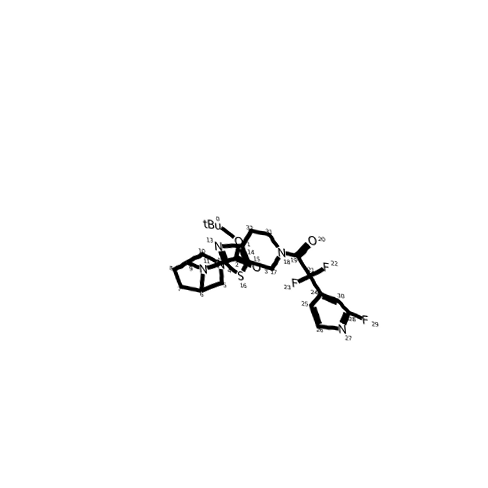 CC(C)(C)OC(=O)N1CC2CCC(C1)N2c1nc2c(s1)CN(C(=O)C(F)(F)c1ccnc(F)c1)CC2